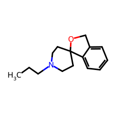 CCCN1CCC2(CC1)OCc1ccccc12